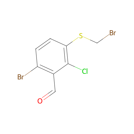 O=Cc1c(Br)ccc(SCBr)c1Cl